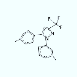 Cc1ccc(-c2cc(C(F)(F)F)nn2-c2cccc(C)c2)cc1